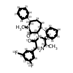 C[C@H](N)C(=O)N(C(=O)Cc1cc(F)cc(F)c1)[C@@H]1C(=O)N(C)[C@H](c2ccccc2)CC[C@@H]1c1ccccc1